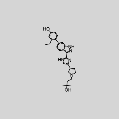 CCc1cc(O)ccc1-c1ccc2c(-c3nc(C4=CCN(CCC(C)(C)O)C4)c[nH]3)n[nH]c2c1